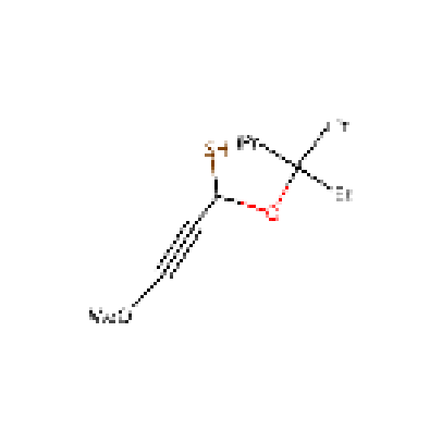 CCC(OC(S)C#COC)(C(C)C)C(C)C